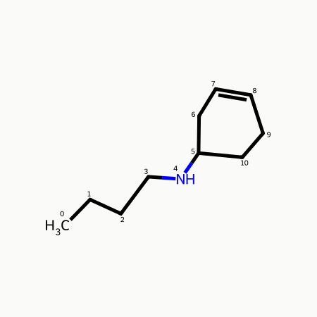 CCCCNC1CC=CCC1